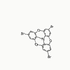 Brc1cc2c3c(c1)Oc1cc(Br)cc4c1N3c1c(cc(Br)cc1O4)O2